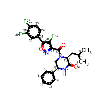 CC(C)C[C@H]1C(=O)N[C@@H](c2ccccc2)CN1C(=O)c1noc(-c2ccc(F)c(F)c2)c1F